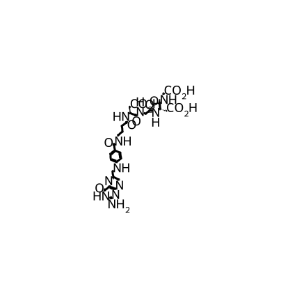 Nc1nc2ncc(CNc3ccc(C(=O)NCCCC(=O)N[C@@H](CC(=O)O)C(=O)NCC(=O)N[C@@H](CC(=O)O)C(=O)NCC(=O)O)cc3)nc2c(=O)[nH]1